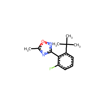 Cc1nc(-c2c(F)cccc2C(C)(C)C)no1